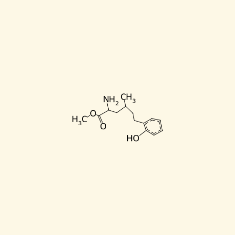 COC(=O)C(N)CC(C)CCc1ccccc1O